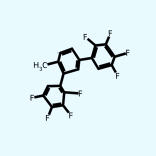 Cc1[c]cc(-c2cc(F)c(F)c(F)c2F)cc1-c1cc(F)c(F)c(F)c1F